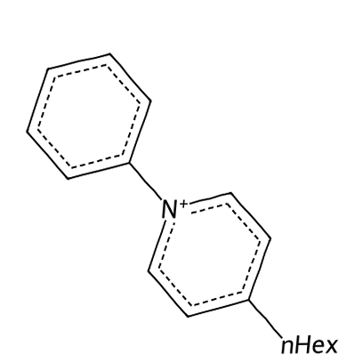 CCCCCCc1cc[n+](-c2ccccc2)cc1